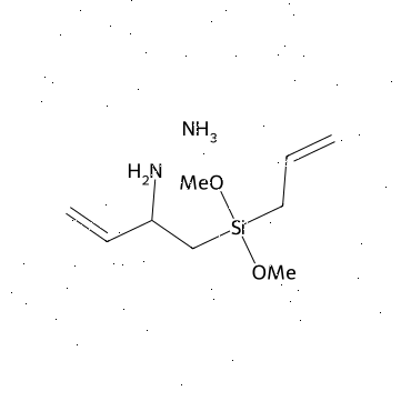 C=CC[Si](CC(N)C=C)(OC)OC.N